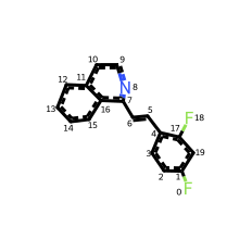 Fc1ccc(C=Cc2nccc3ccccc23)c(F)c1